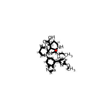 CCNC(=O)NC1(C2CNCCC2(C)C(=O)O)N=CC=CN1c1cc(-c2csc(OC)n2)c2scnc2c1